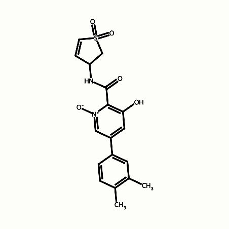 Cc1ccc(-c2cc(O)c(C(=O)NC3C=CS(=O)(=O)C3)[n+]([O-])c2)cc1C